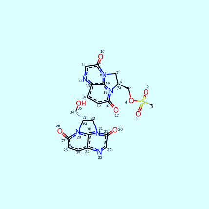 CS(=O)(=O)OC[C@@H]1Cn2c(=O)cnc3ccc(=O)n1c32.O=c1cnc2ccc(=O)n3c2n1C[C@H]3CO